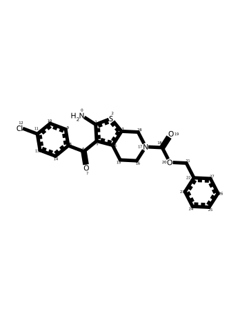 Nc1sc2c(c1C(=O)c1ccc(Cl)cc1)CCN(C(=O)OCc1ccccc1)C2